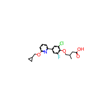 CC(COc1c(F)cc(-c2cccc(OCC3CC3)n2)cc1Cl)CC(=O)O